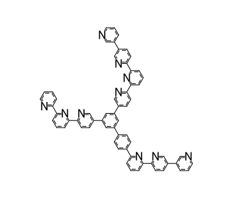 c1ccc(-c2cccc(-c3ccc(-c4cc(-c5ccc(-c6cccc(-c7ccc(-c8cccnc8)cn7)n6)cc5)cc(-c5ccc(-c6cccc(-c7ccc(-c8cccnc8)cn7)n6)nc5)c4)cn3)n2)nc1